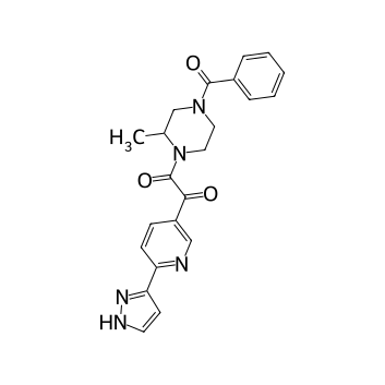 CC1CN(C(=O)c2ccccc2)CCN1C(=O)C(=O)c1ccc(-c2cc[nH]n2)nc1